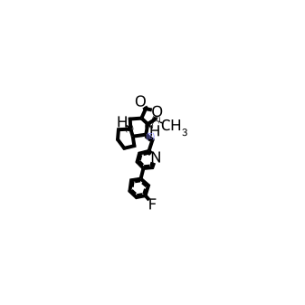 C[C@H]1OC(=O)C2C[C@@H]3CCCCC3/C(=C\c3ccc(-c4cccc(F)c4)cn3)[C@@H]21